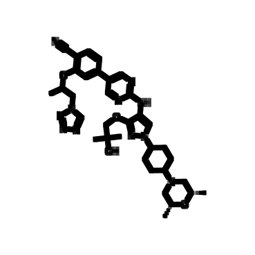 CC(Cn1cnnn1)Oc1cc(-c2cnc(Nc3cn(C4CCC(N5C[C@@H](C)O[C@@H](C)C5)CC4)nc3OCC(C)(C)O)nc2)ccc1C#N